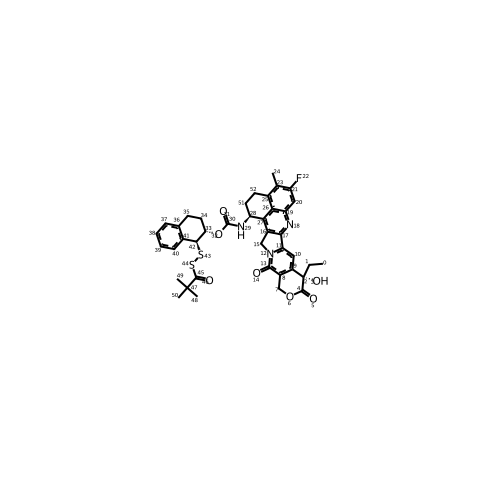 CC[C@@]1(O)C(=O)OCc2c1cc1n(c2=O)Cc2c-1nc1cc(F)c(C)c3c1c2[C@@H](NC(=O)O[C@H]1CCc2ccccc2[C@@H]1SSC(=O)C(C)(C)C)CC3